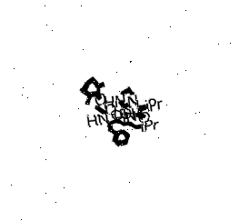 Cc1cccc(C)c1OCC(=O)NC(Cc1ccccc1)C(O)CC(CC(C)C)NC(=O)C(C(C)C)N1CCCNC1=O